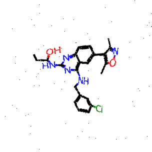 CCC(O)Nc1nc(NCc2cccc(Cl)c2)c2cc(-c3c(C)noc3C)ccc2n1